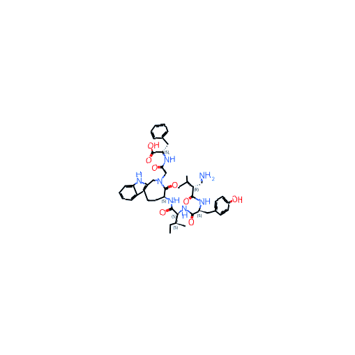 CC[C@H](C)[C@H](NC(=O)[C@H](Cc1ccc(O)cc1)NC(=O)[C@@H](CN)C(C)C)C(=O)N[C@H]1CCc2c([nH]c3ccccc23)CN(CC(=O)N[C@@H](Cc2ccccc2)C(=O)O)C1=O